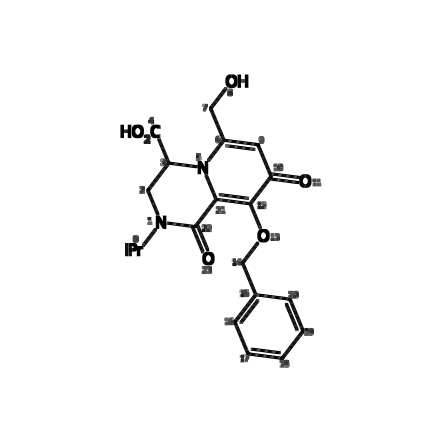 CC(C)N1CC(C(=O)O)n2c(CO)cc(=O)c(OCc3ccccc3)c2C1=O